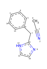 CC#N.c1ccc(Cc2ncc[nH]2)cc1